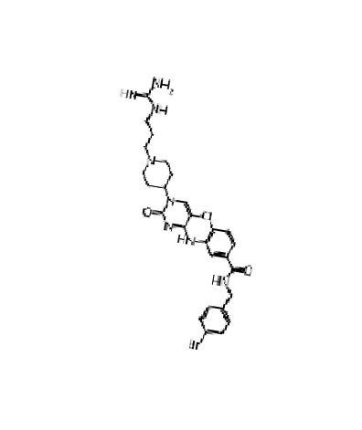 N=C(N)NCCCN1CCC(n2cc3c(nc2=O)Nc2cc(C(=O)NCc4ccc(Br)cc4)ccc2O3)CC1